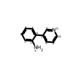 Nc1ccccc1-c1cccnc1